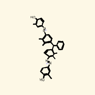 Cc1cc(/N=N/c2ccc(C(c3ccccc3)c3ccc(/N=N/c4ccc(O)c(C)c4)c(C)c3C)c(C)c2C)ccc1O